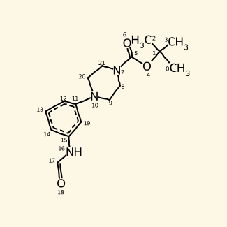 CC(C)(C)OC(=O)N1CCN(c2cccc(NC=O)c2)CC1